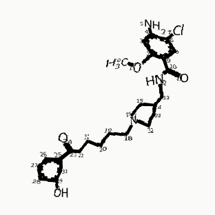 COc1cc(N)c(Cl)cc1C(=O)NCC1CCN(CCCCCC(=O)c2cccc(O)c2)CC1